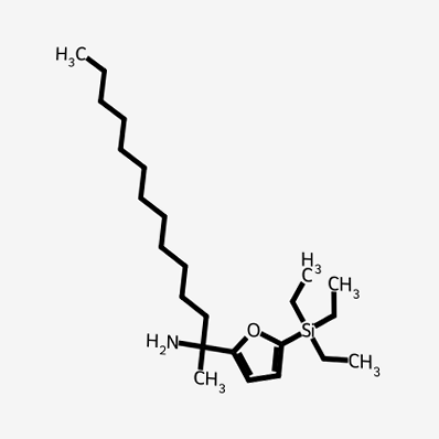 CCCCCCCCCCCCC(C)(N)c1ccc([Si](CC)(CC)CC)o1